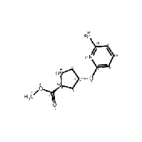 COC(=O)[C@@H]1C[C@@H](Oc2cccc(Br)n2)CN1